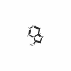 N#Cc1cnc2cnnnn12